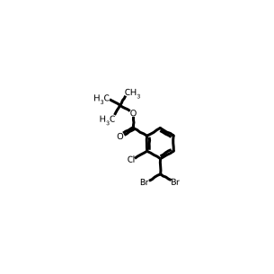 CC(C)(C)OC(=O)c1cccc(C(Br)Br)c1Cl